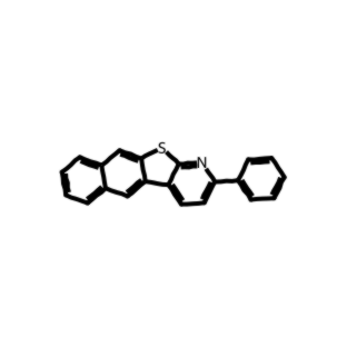 c1ccc(-c2ccc3c(n2)sc2cc4ccccc4cc23)cc1